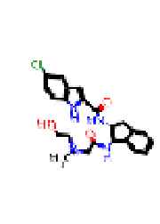 CN(CCO)CC(=O)N[C@@H]1c2ccccc2C[C@H]1NC(=O)c1cc2cc(Cl)ccc2[nH]1